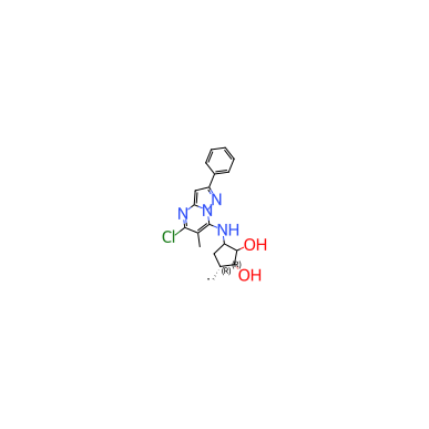 [CH2][C@@H]1CC(Nc2c(C)c(Cl)nc3cc(-c4ccccc4)nn23)C(O)[C@@H]1O